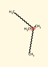 CCCCCCCCCCCCCCCCCCC[Si](CCCCCCCCCCCCCCCCCCC)(OCC)OCC